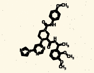 COc1ccc(NC(=O)N2CCN(c3cc(-n4ccnc4)ncn3)C(C(=O)NC(C)c3cccc(OC)c3OC)C2)cc1